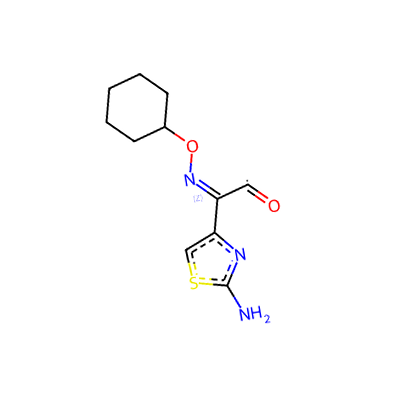 Nc1nc(/C([C]=O)=N/OC2CCCCC2)cs1